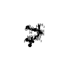 CC(C)[C@H](NC(=O)CCNC(=O)[C@@H](N)CCN(C(=O)CO)[C@@H](c1nc(-c2cc(F)ccc2F)cn1Cc1ccccc1)C(C)(C)C)C(=O)N[C@@H](CCCCN)C(=O)Nc1ccc(CC(=O)NCCN2C(=O)C=CC2=O)cc1